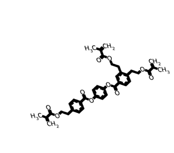 C=C(C)C(=O)OCCc1ccc(C(=O)Oc2ccc(OC(=O)c3ccc(CCOC(=O)C(=C)C)c(CCOC(=O)C(=C)C)c3)cc2)cc1